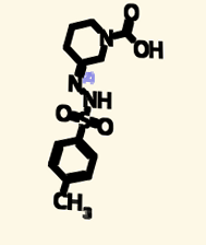 Cc1ccc(S(=O)(=O)N/N=C2/CCCN(C(=O)O)C2)cc1